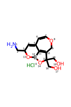 Cl.NCC1C=C2C=COCC3=C2B(O1)OC3(CO)CO